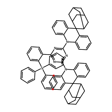 c1ccc([Si](c2ccccc2)(c2ccccc2)c2ccccc2-c2nc(N3c4ccccc4C4(c5ccccc53)C3CC5CC(C3)CC4C5)nc(N3c4ccccc4C4(c5ccccc53)C3CC5CC(C3)CC4C5)n2)cc1